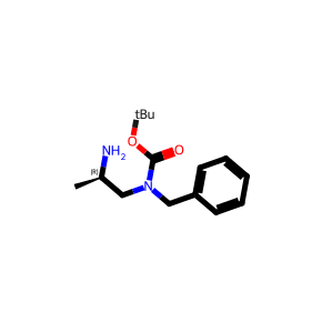 C[C@@H](N)CN(Cc1ccccc1)C(=O)OC(C)(C)C